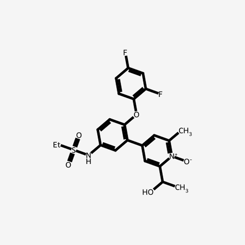 CCS(=O)(=O)Nc1ccc(Oc2ccc(F)cc2F)c(-c2cc(C)[n+]([O-])c(C(C)O)c2)c1